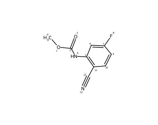 COC(=O)Nc1cc(F)ccc1C#N